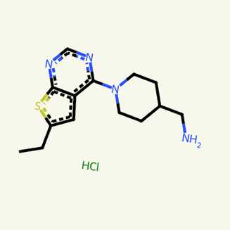 CCc1cc2c(N3CCC(CN)CC3)ncnc2s1.Cl